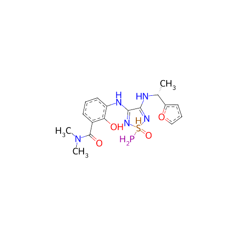 C[C@@H](NC1=N[SH](=O)(P)N=C1Nc1cccc(C(=O)N(C)C)c1O)c1ccco1